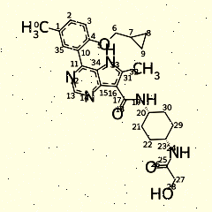 Cc1ccc(OCC2CC2)c(-c2ncnc3c(C(=O)N[C@H]4CC[C@@H](NC(=O)CO)CC4)c(C)[nH]c23)c1